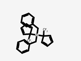 FC(F)(F)[C]1([Zr]([CH2]c2ccccc2)([CH2]c2ccccc2)[C]2(C(F)(F)F)C=CC=C2)C=CC=C1